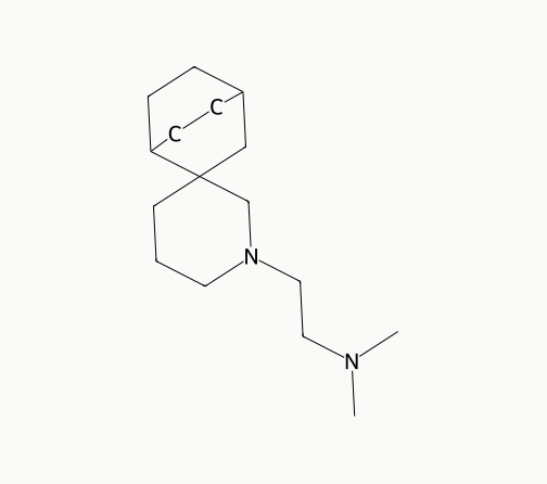 CN(C)CCN1CCCC2(CC3CCC2CC3)C1